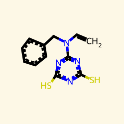 C=CN(Cc1ccccc1)c1nc(S)nc(S)n1